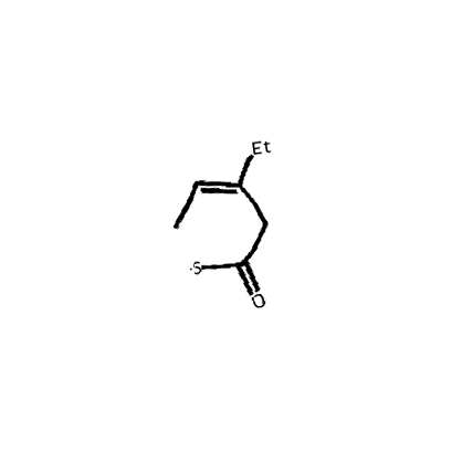 CC=C(CC)CC(=O)[S]